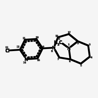 CN1C2CCCC1CN(c1ccc(Cl)nc1)CC2